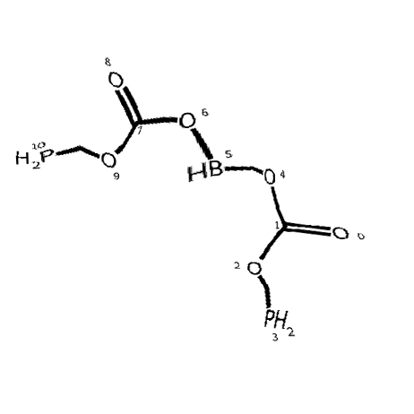 O=C(OP)OBOC(=O)OP